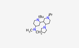 CC(C)N1CCC(N2CCCC2)C(C2CC(N(C)C)CCN2C(C)(C)C)C1